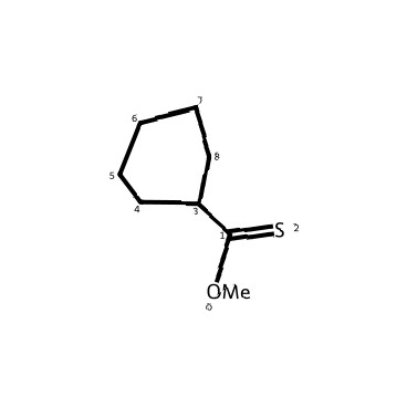 COC(=S)C1CCCCC1